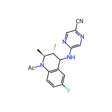 CC(=O)N1c2ccc(F)cc2C(Nc2cnc(C#N)cn2)[C@@H](C)[C@@H]1C